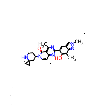 Cc1c(O)c(-c2nc(C)c3c(=O)n(C4CCNC5(CC5)C4)ccc3n2)cc2cn(C)nc12